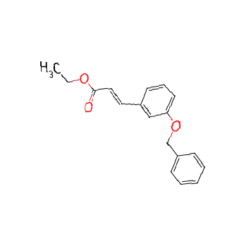 CCOC(=O)C=Cc1cccc(OCc2ccccc2)c1